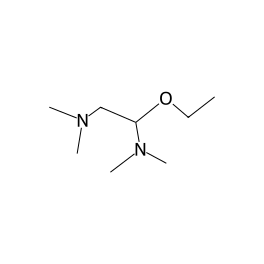 CCOC(CN(C)C)N(C)C